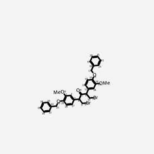 COc1cc(C(CBr)C(=O)C(CBr)c2ccc(OCc3ccccc3)c(OC)c2)ccc1OCc1ccccc1